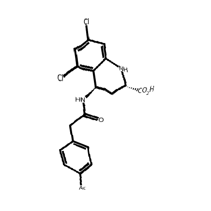 CC(=O)c1ccc(CC(=O)N[C@@H]2C[C@@H](C(=O)O)Nc3cc(Cl)cc(Cl)c32)cc1